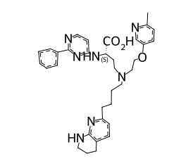 Cc1ccc(OCCN(CCCCc2ccc3c(n2)NCCC3)CC[C@H](Nc2ccnc(-c3ccccc3)n2)C(=O)O)cn1